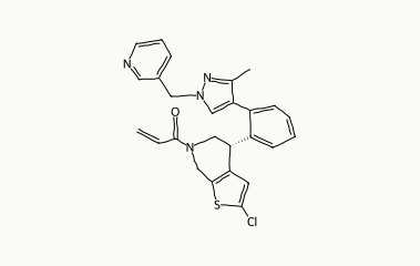 C=CC(=O)N1Cc2sc(Cl)cc2[C@@H](c2ccccc2-c2cn(Cc3cccnc3)nc2C)C1